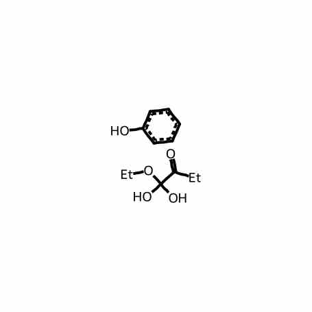 CCOC(O)(O)C(=O)CC.Oc1ccccc1